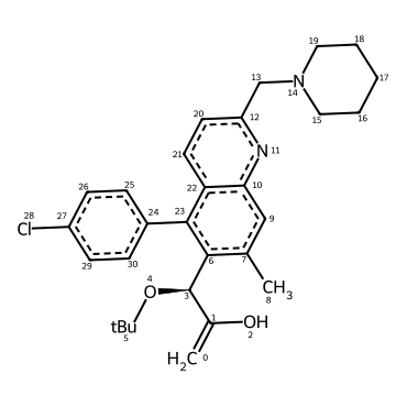 C=C(O)[C@@H](OC(C)(C)C)c1c(C)cc2nc(CN3CCCCC3)ccc2c1-c1ccc(Cl)cc1